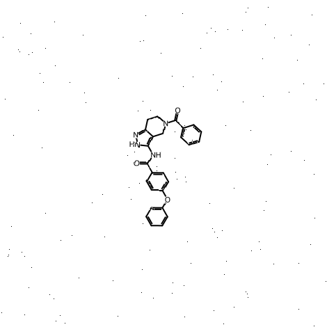 O=C(Nc1[nH]nc2c1CN(C(=O)c1ccccc1)CC2)c1ccc(Oc2ccccc2)cc1